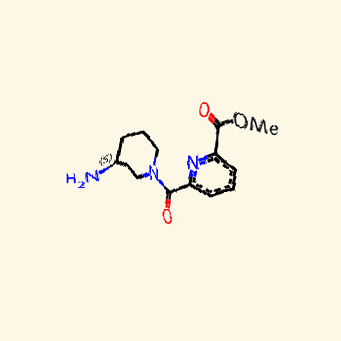 COC(=O)c1cccc(C(=O)N2CCC[C@H](N)C2)n1